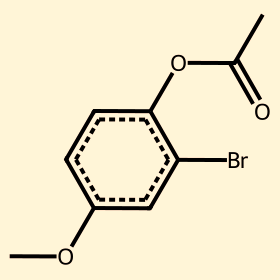 COc1ccc(OC(C)=O)c(Br)c1